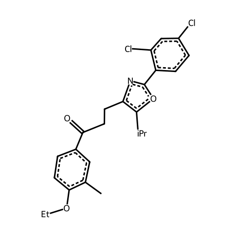 CCOc1ccc(C(=O)CCc2nc(-c3ccc(Cl)cc3Cl)oc2C(C)C)cc1C